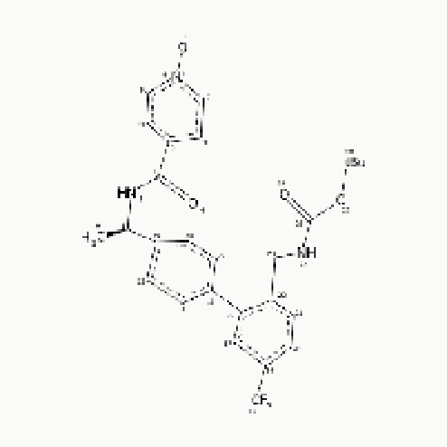 C[C@@H](NC(=O)c1cc[n+]([O-])cc1)c1ccc(-c2cc(C(F)(F)F)ccc2CNC(=O)OC(C)(C)C)cc1